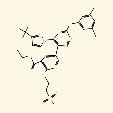 CCOC(=O)c1cc(-c2cnc(Nc3cc(C)cc(C)c3)nc2-n2ccc(C(F)(F)F)n2)cnc1OCCS(C)(=O)=O